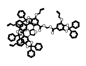 C=CCOc1cc(C(=O)OCOC(=O)c2cc(OCC=C)c3c(c2[C@H]2OC[C@@H](c4c(C(=O)O)cc(OCC=C)c5c4OC(c4ccccc4)(c4ccccc4)O5)[C@@H]2c2c(C(=O)O)cc(OCC=C)c4c2OC(c2ccccc2)(c2ccccc2)O4)OC(c2ccccc2)(c2ccccc2)O3)cc2c1OC(c1ccccc1)(c1ccccc1)O2